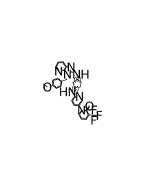 COc1ccc(Cn2c(N[C@H]3CC[C@H](Nc4ccc(-n5cccc(C(F)(F)F)c5=O)cn4)C3)nc3cccnc32)cc1